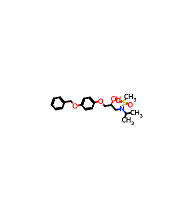 CC(C)N(C[C@H](O)COc1ccc(OCc2ccccc2)cc1)S(C)(=O)=O